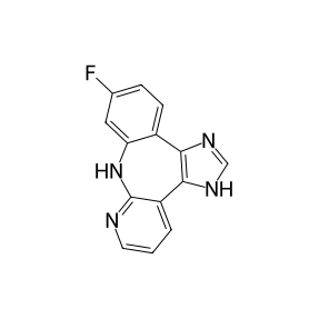 Fc1ccc2c(c1)Nc1ncccc1-c1[nH]cnc1-2